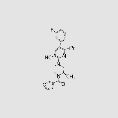 CC(C)c1nc(N2CCN(C(=O)c3ccoc3)[C@H](C)C2)c(C#N)cc1-c1cccc(F)c1